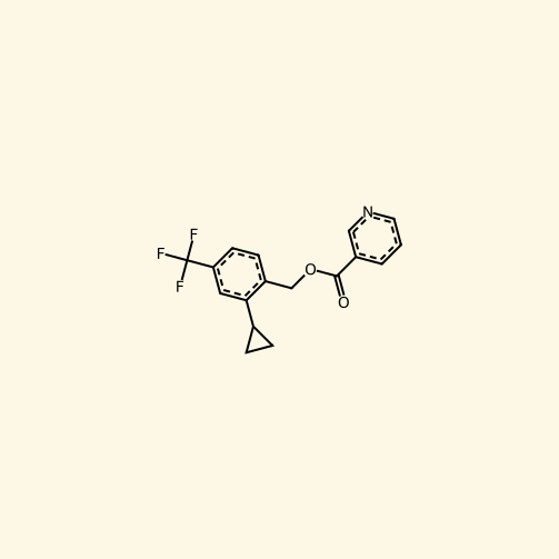 O=C(OCc1ccc(C(F)(F)F)cc1C1CC1)c1cccnc1